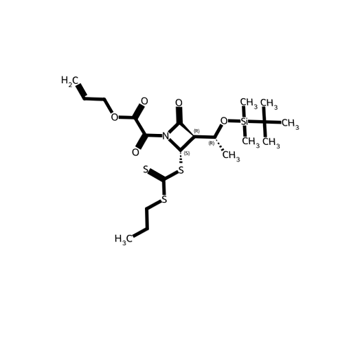 C=CCOC(=O)C(=O)N1C(=O)[C@@H]([C@@H](C)O[Si](C)(C)C(C)(C)C)[C@@H]1SC(=S)SCCC